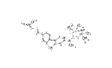 CN(c1ccc(-c2ccc(/C=C/C[SH](=O)=O)cc2O)nn1)C1CC(C)(C)NC(C)(C)C1